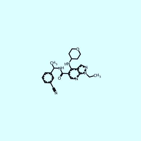 CCn1ncc2c(NC3CCOCC3)c(C(=O)NC(C)c3cccc(C#N)c3)cnc21